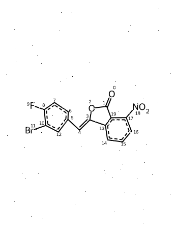 O=C1OC(=Cc2ccc(F)c(Br)c2)c2cccc([N+](=O)[O-])c21